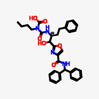 CCCCN(C(=O)O)C(=O)N[C@@H](CCc1ccccc1)C(O)c1nc(C(=O)NC(c2ccccc2)c2ccccc2)co1